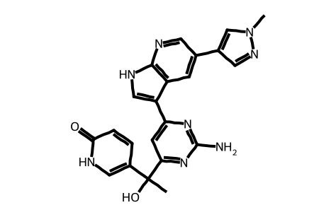 Cn1cc(-c2cnc3[nH]cc(-c4cc(C(C)(O)c5ccc(=O)[nH]c5)nc(N)n4)c3c2)cn1